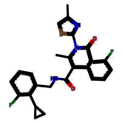 Cc1csc(-n2c(C)c(C(=O)NCc3cccc(F)c3C3CC3)c3cccc(F)c3c2=O)n1